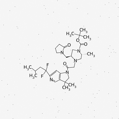 CC(C)CC(F)(F)c1cc2c(cn1)C(C)(C)CN2C(=O)CN1C[C@@H](C)N(C(=O)OC(C)(C)C)C[C@@H]1CN1CCCC1=O